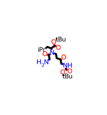 CC(C)CC(C(=O)OC(C)(C)C)N(CCC(=O)CNC(=O)OC(C)(C)C)C(=O)CN